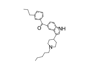 CCCCCN1CCC(c2c[nH]c3ccc(C(=O)c4cccc(CCC)c4)cc23)CC1